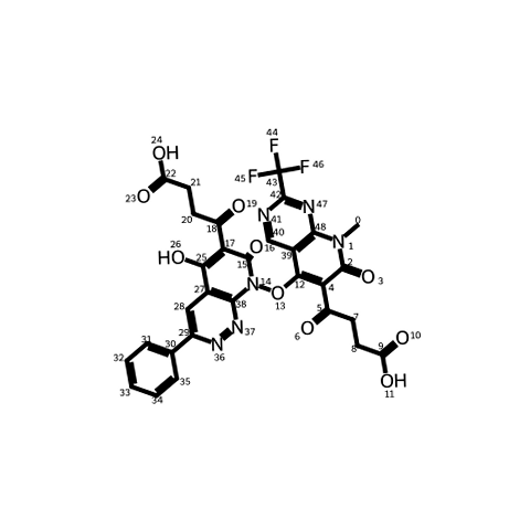 Cn1c(=O)c(C(=O)CCC(=O)O)c(On2c(=O)c(C(=O)CCC(=O)O)c(O)c3cc(-c4ccccc4)nnc32)c2cnc(C(F)(F)F)nc21